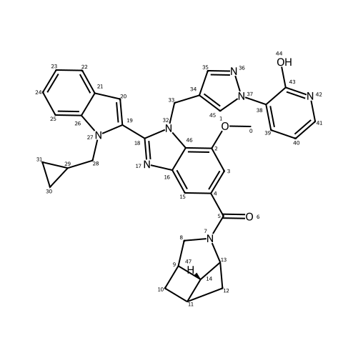 COc1cc(C(=O)N2CC3CC4CC2[C@H]43)cc2nc(-c3cc4ccccc4n3CC3CC3)n(Cc3cnn(-c4cccnc4O)c3)c12